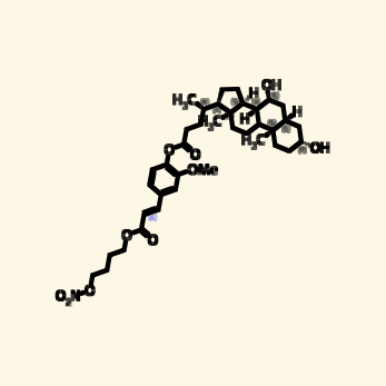 COc1cc(/C=C/C(=O)OCCCCO[N+](=O)[O-])ccc1OC(=O)CC[C@@H](C)[C@H]1CC[C@H]2[C@H]3C(CC[C@]12C)[C@@]1(C)CC[C@@H](O)C[C@H]1C[C@@H]3O